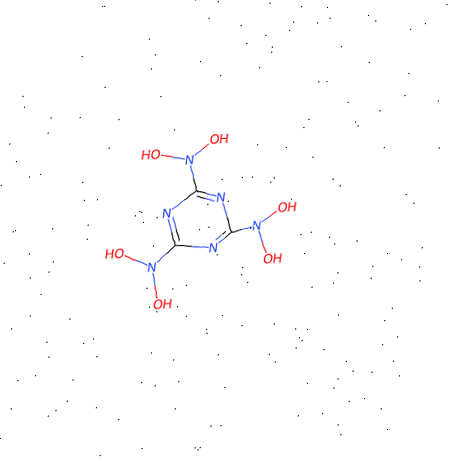 ON(O)c1nc(N(O)O)nc(N(O)O)n1